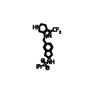 CC(C)S(=O)(=O)N[C@H]1Cc2ccc(Cn3nc(C(F)(F)F)c4c3CNCC4)cc2C1